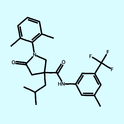 Cc1cc(NC(=O)C2(CC(C)C)CC(=O)N(c3c(C)cccc3C)C2)cc(C(F)(F)F)c1